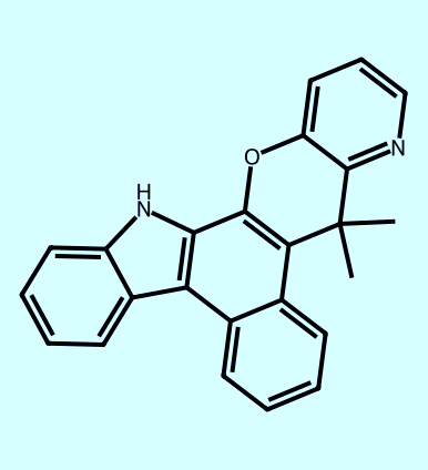 CC1(C)c2ncccc2Oc2c1c1ccccc1c1c2[nH]c2ccccc21